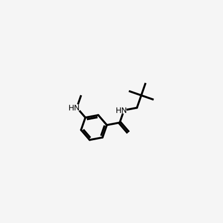 C=C(NCC(C)(C)C)c1cccc(NC)c1